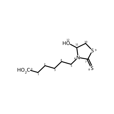 O=C(O)CCCCCN1C(=S)SCC1O